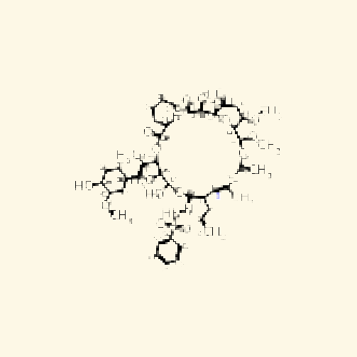 C=CCC1/C=C(\C)CC(C)CC(OC)C2OC(O)(C(=O)C(=O)[N+]3(C)CCCCC3C(=O)OC(C(C)=CC3CCC(O)C(OC)C3)C(C)C(O)CC1=NNS(=O)(=O)c1ccccc1)C(C)CC2OC